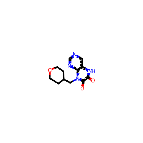 O=c1[nH]c2cncnc2n(CC2CCOCC2)c1=O